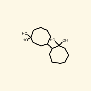 OC1(O)CCCCC(C2CCCCCCC2(O)O)CC1